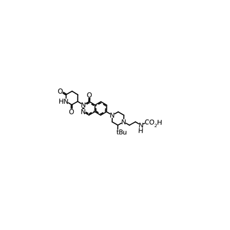 CC(C)(C)C1CN(c2ccc3c(=O)n(C4CCC(=O)NC4=O)ncc3c2)CCN1CCNC(=O)O